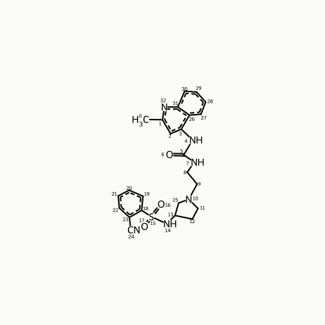 Cc1cc(NC(=O)NCCN2CCC(NS(=O)(=O)c3ccccc3C#N)C2)c2ccccc2n1